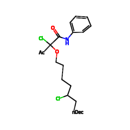 CCCCCCCCCCCC(Cl)CCCCOC(Cl)(C(C)=O)C(=O)Nc1ccccc1